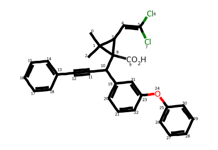 CC1(C)C(C=C(Cl)Cl)C1(C(=O)O)C(C#Cc1ccccc1)c1cccc(Oc2ccccc2)c1